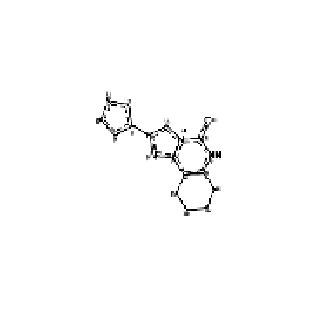 O=c1[nH]c2c(c3nc(-c4ccsc4)cn13)CCCC2